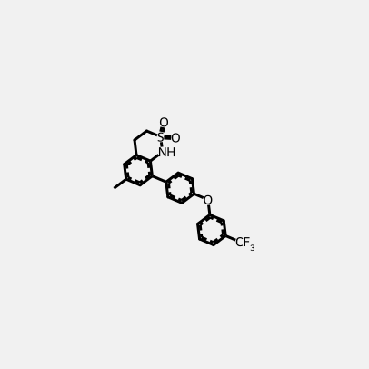 Cc1cc2c(c(-c3ccc(Oc4cccc(C(F)(F)F)c4)cc3)c1)NS(=O)(=O)CC2